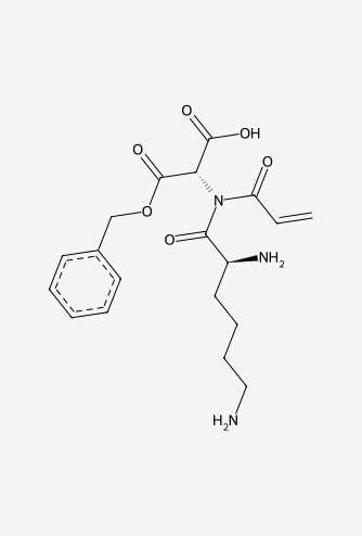 C=CC(=O)N(C(=O)[C@@H](N)CCCCN)[C@@H](C(=O)O)C(=O)OCc1ccccc1